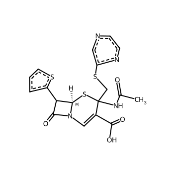 CC(=O)NC1(CSc2cnccn2)S[C@@H]2C(c3cccs3)C(=O)N2C=C1C(=O)O